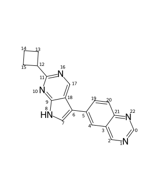 c1ncc2cc(-c3c[nH]c4nc(C5CCC5)ncc34)ccc2n1